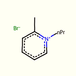 CCC[n+]1ccccc1C.[Br-]